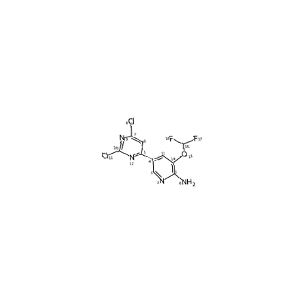 Nc1ncc(-c2cc(Cl)nc(Cl)n2)cc1OC(F)F